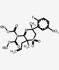 C=CCC1(C)C(N(C(=O)OC(C)(C)C)C(=O)OC(C)(C)C)=N[C@](C)(c2cc([N+](=O)[O-])ccc2F)CS1(=O)=O